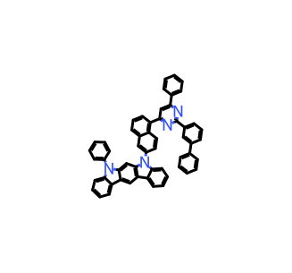 c1ccc(-c2cccc(-c3nc(-c4ccccc4)cc(-c4cccc5cc(-n6c7ccccc7c7cc8c9ccccc9n(-c9ccccc9)c8cc76)ccc45)n3)c2)cc1